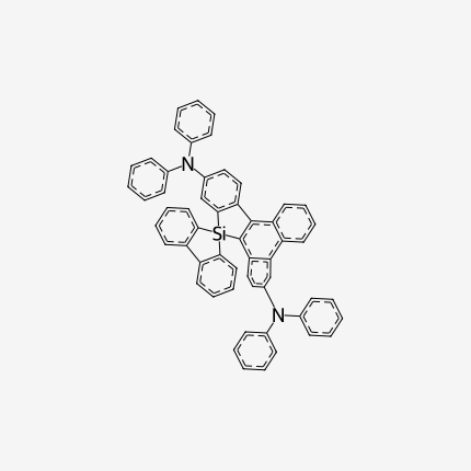 c1ccc(N(c2ccccc2)c2ccc3c(c2)[Si]2(c4ccccc4-c4ccccc42)c2c-3c3ccccc3c3cc(N(c4ccccc4)c4ccccc4)ccc23)cc1